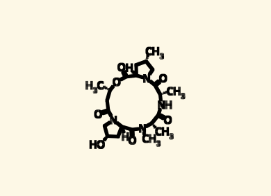 C[C@H]1C[C@H]2C(=O)O[C@@H](C)CC(=O)N3C[C@H](O)C[C@H]3C(=O)N(C)[C@@H](C)C(=O)N[C@@H](C)C(=O)N2C1